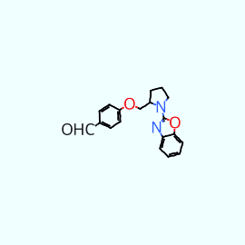 O=Cc1ccc(OCC2CCCN2c2nc3ccccc3o2)cc1